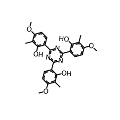 COc1ccc(-c2nc(-c3ccc(OC)c(C)c3O)nc(-c3ccc(OC)c(C)c3O)n2)c(O)c1C